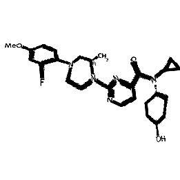 COc1ccc(N2CCN(c3nccc(C(=O)N(C4CC4)[C@H]4CC[C@H](O)CC4)n3)[C@H](C)C2)c(F)c1